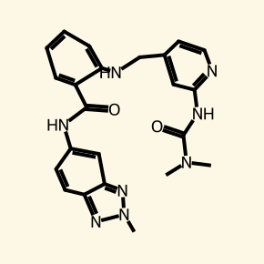 CN(C)C(=O)Nc1cc(CNc2ccccc2C(=O)Nc2ccc3nn(C)nc3c2)ccn1